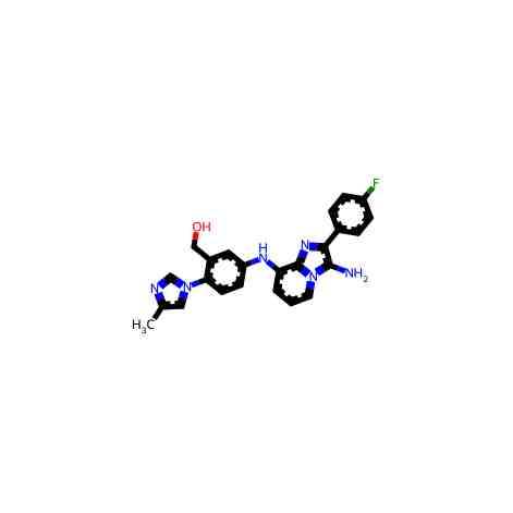 Cc1cn(-c2ccc(Nc3cccn4c(N)c(-c5ccc(F)cc5)nc34)cc2CO)cn1